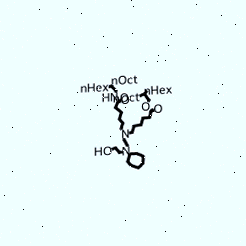 CCCCCCCCC(CCCCCC)CNC(=O)CCCCCN(CCCCCC(=O)OCC(CCCCCC)CCCCCCCC)CCN(CCO)C1CCCCCC1